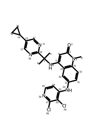 Cn1c(=O)cc(NC(C)(C)c2ncc(C3CC3)cn2)c2cc(Nc3ccnc(Cl)c3Cl)ccc21